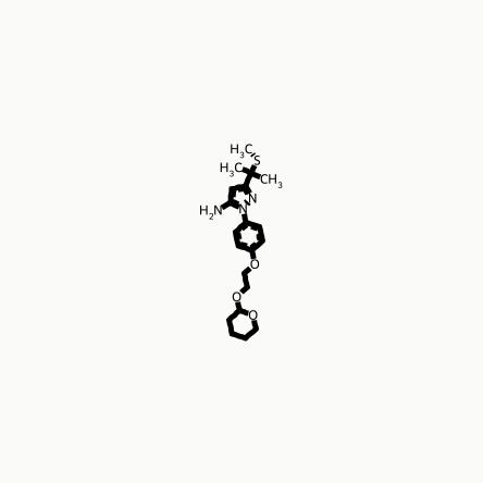 CSC(C)(C)c1cc(N)n(-c2ccc(OCCOC3CCCCO3)cc2)n1